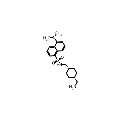 CN(C)c1cccc2c(S(=O)(=O)NC[C@H]3CC[C@H](CN)CC3)cccc12